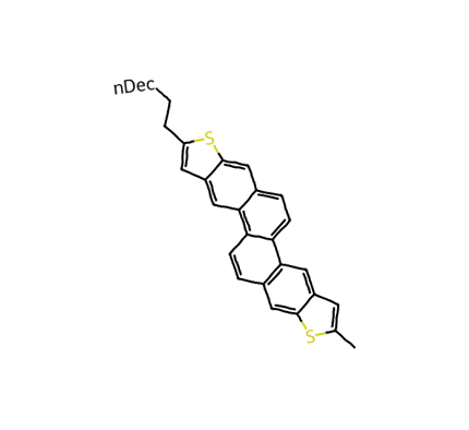 CCCCCCCCCCCCc1cc2cc3c(ccc4c5cc6cc(C)sc6cc5ccc34)cc2s1